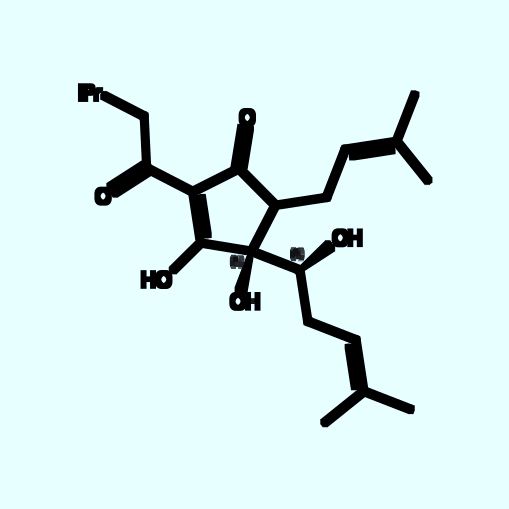 CC(C)=CCC1C(=O)C(C(=O)CC(C)C)=C(O)[C@@]1(O)[C@@H](O)CC=C(C)C